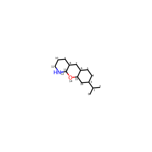 CC(C)C1CCC2CC3CCCNC3OC2C1